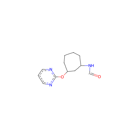 O=[C]NC1CCCCC(Oc2ncccn2)C1